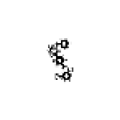 Clc1cccc(Cl)c1OCc1ccc(C2CN(Cc3ccccc3)CCO2)cc1